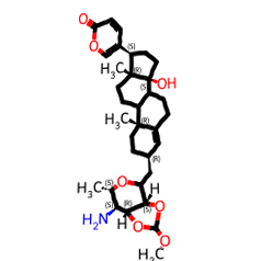 COC1O[C@@H]2[C@@H](N)[C@H](C)OC(C[C@@H]3C=C4CCC5C(CC[C@]6(C)[C@@H](c7ccc(=O)oc7)CC[C@]56O)[C@@]4(C)CC3)[C@@H]2O1